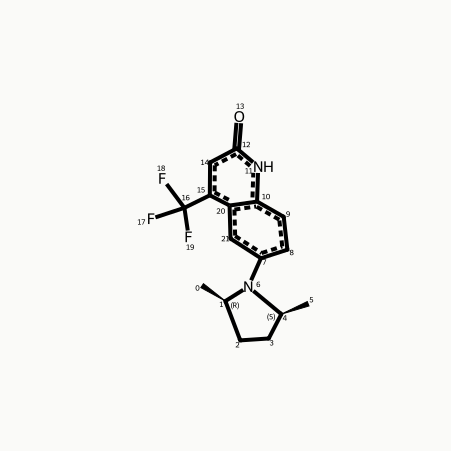 C[C@@H]1CC[C@H](C)N1c1ccc2[nH]c(=O)cc(C(F)(F)F)c2c1